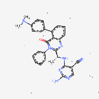 C[C@@H](Nc1nc(N)ncc1C#N)c1nc2cccc(-c3ccc(N(C)C)cc3)c2c(=O)n1-c1ccccc1